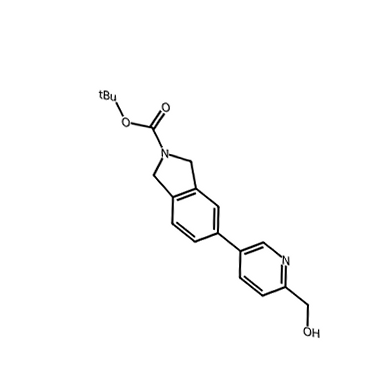 CC(C)(C)OC(=O)N1Cc2ccc(-c3ccc(CO)nc3)cc2C1